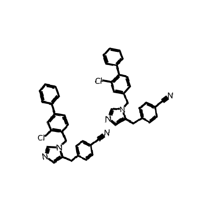 N#Cc1ccc(Cc2cncn2Cc2ccc(-c3ccccc3)c(Cl)c2)cc1.N#Cc1ccc(Cc2cncn2Cc2ccc(-c3ccccc3)cc2Cl)cc1